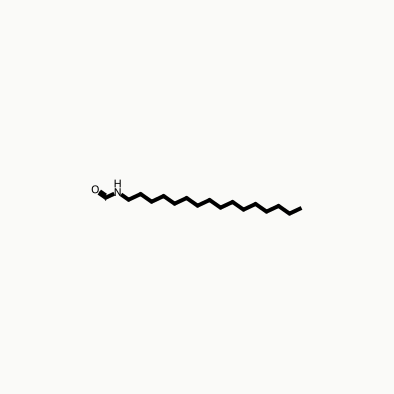 CCCCCCCCCCCCCCCCN[C]=O